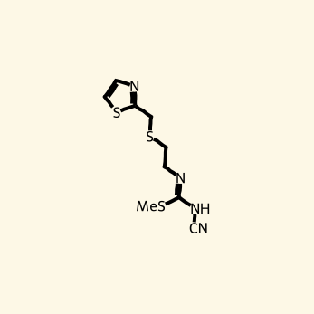 CS/C(=N\CCSCc1nccs1)NC#N